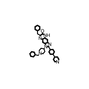 O=c1[nH]c2cc3nc(-c4ccc(-c5ccncc5)cc4)n(C4CCN(Cc5ccccc5)CC4)c3cc2nc1Cc1ccccc1